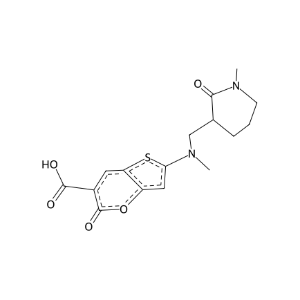 CN1CCCC(CN(C)c2cc3oc(=O)c(C(=O)O)cc3s2)C1=O